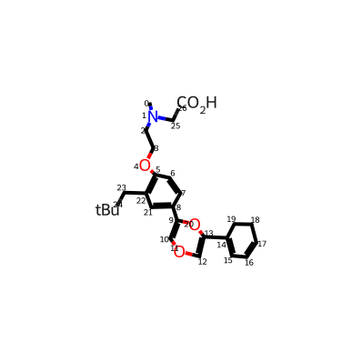 CN(CCOc1ccc(C2=COC=C(C3=CC=CCC3)O2)cc1CC(C)(C)C)CC(=O)O